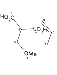 C=CC.COCC(C(=O)O)C(=O)O